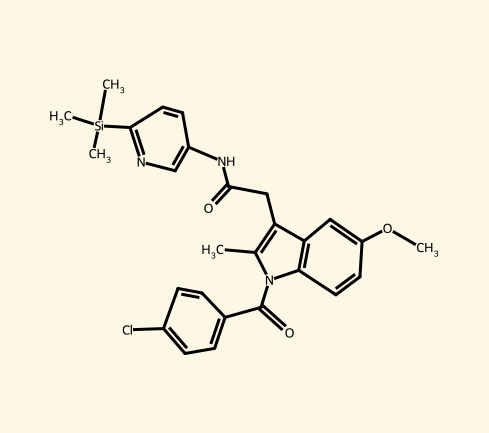 COc1ccc2c(c1)c(CC(=O)Nc1ccc([Si](C)(C)C)nc1)c(C)n2C(=O)c1ccc(Cl)cc1